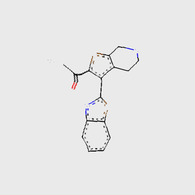 COC(=O)c1sc2c(c1-c1nc3ccccc3s1)CCNC2